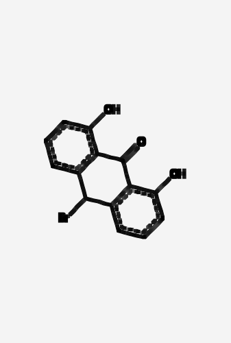 O=C1c2c(O)cccc2C(Br)c2cccc(O)c21